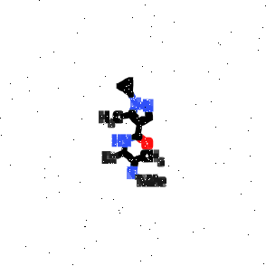 CCC(NC(=O)c1cnn(C2CC2)c1C)/C(C)=N/NC